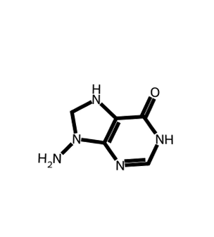 NN1CNc2c1nc[nH]c2=O